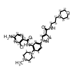 CN1CCN(c2ccc(-n3cc(C(=O)NCCCN4CCOCC4)nn3)cc2NC(=O)c2ncc(N)nc2Cl)CC1